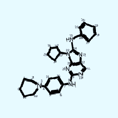 [CH]1CCN(c2ccc(Nc3ncc4nc(Nc5ccccc5)n(C5CCCC5)c4n3)cc2)CC1